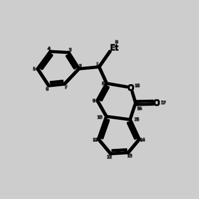 CCC(c1ccccc1)c1cc2ccccc2c(=O)o1